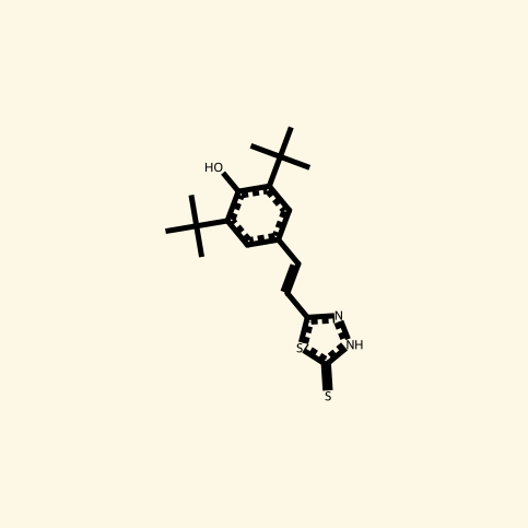 CC(C)(C)c1cc(C=Cc2n[nH]c(=S)s2)cc(C(C)(C)C)c1O